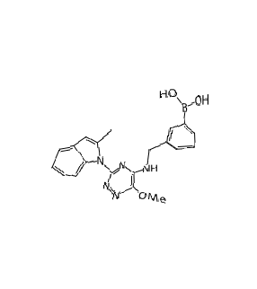 COc1nnc(-n2c(C)cc3ccccc32)nc1NCc1cccc(B(O)O)c1